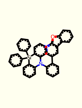 c1ccc([Si]2(c3ccccc3)c3ccccc3N(c3ccccc3-c3cnc4oc5ccccc5c4c3)c3ccccc32)cc1